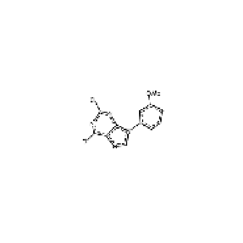 COc1cccc(-n2cnc3c(Cl)nc(Cl)nc32)c1